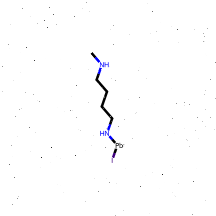 CNCCCC[NH][Pb][I]